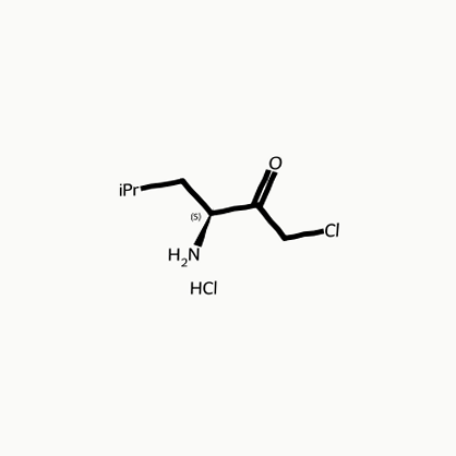 CC(C)C[C@H](N)C(=O)CCl.Cl